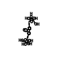 OCC[C@H]1OC(CC#Cc2ccc3c(c2)C2(CCOCC2)c2cc(C#C[C@H]4O[C@H](CO)[C@@H](O)[C@H](O)[C@@H]4O)ccc2-3)[C@@H](O)[C@@H](O)[C@@H]1O